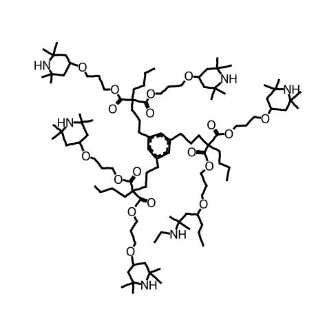 CCCCC(CCCc1cc(CCCC(CCCC)(C(=O)OCCCOC2CC(C)(C)NC(C)(C)C2)C(=O)OCCCOC2CC(C)(C)NC(C)(C)C2)cc(CCCC(CCCC)(C(=O)OCCCOC2CC(C)(C)NC(C)(C)C2)C(=O)OCCCOC2CC(C)(C)NC(C)(C)C2)c1)(C(=O)OCCCOC(CCC)CC(C)(C)NCC)C(=O)OCCCOC1CC(C)(C)NC(C)(C)C1